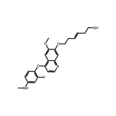 CNc1ccc(Oc2ccnc3cc(OCC/C=C/CCS)c(OC)cc23)c(F)c1